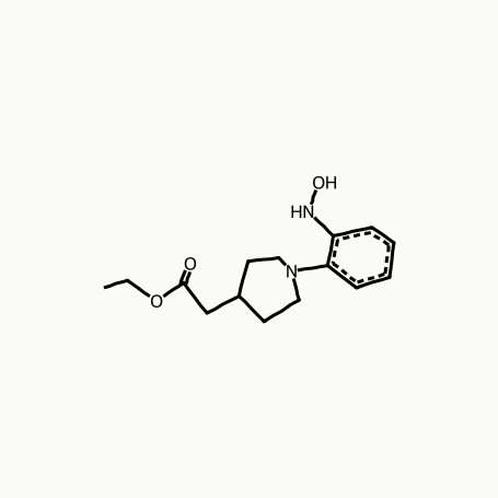 CCOC(=O)CC1CCN(c2ccccc2NO)CC1